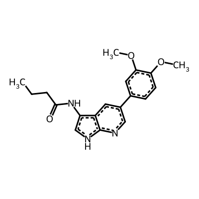 CCCC(=O)Nc1c[nH]c2ncc(-c3ccc(OC)c(OC)c3)cc12